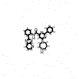 O=C(Nc1ccccc1-c1nc2cccnc2s1)c1cc(N2CCCNCC2)nc(-c2ccccc2)n1